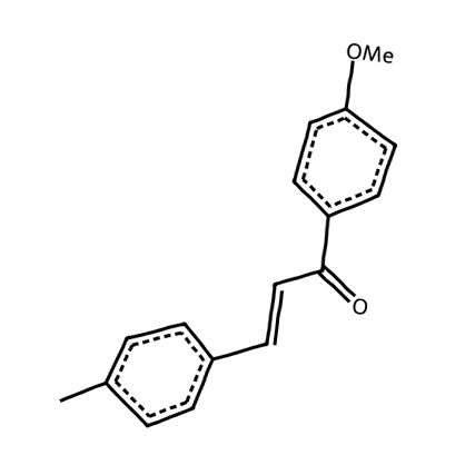 COc1ccc(C(=O)C=Cc2ccc(C)cc2)cc1